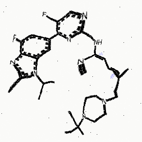 C=N/C(=C\C=C(/C)CN1CCN(C(C)(C)C)CC1)Nc1ncc(F)c(-c2cc(F)c3nc(C)n(C(C)C)c3c2)n1